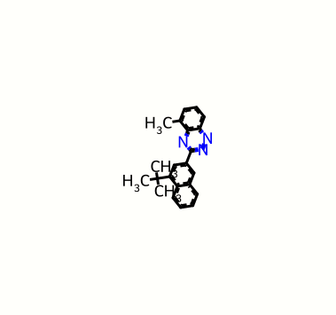 Cc1cccc2nnc(-c3cc(C(C)(C)C)c4ccccc4c3)nc12